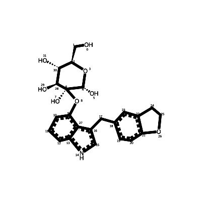 OC[C@H]1O[C@H](O)[C@@](O)(Oc2cccc3[nH]cc(Cc4ccc5c(c4)CCO5)c23)[C@@H](O)[C@@H]1O